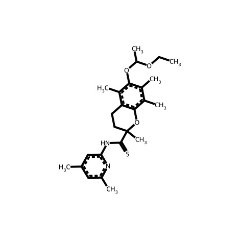 CCOC(C)Oc1c(C)c(C)c2c(c1C)CCC(C)(C(=S)Nc1cc(C)cc(C)n1)O2